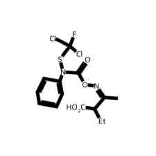 CCC(C(=O)O)C(C)=NOC(=O)N(SC(F)(Cl)Cl)c1ccccc1